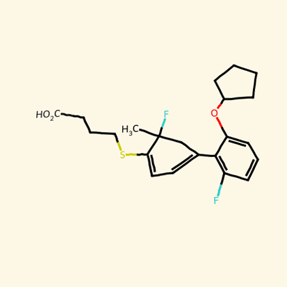 CC1(F)CC(c2c(F)cccc2OC2CCCC2)=CC=C1SCCCC(=O)O